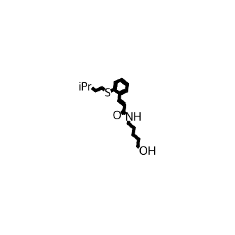 CC(C)CCSc1ccccc1C=CC(=O)NCCCCCO